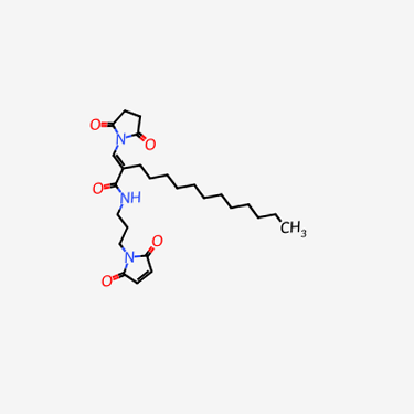 CCCCCCCCCCCCC(=CN1C(=O)CCC1=O)C(=O)NCCCN1C(=O)C=CC1=O